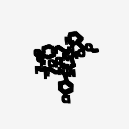 CCOC(=O)c1cccnc1-n1nc(Cn2nc(-c3ccc(Cl)cc3)n(C[C@H](O)C(F)(F)F)c2=O)nc1CN1CCS(=O)(=O)CC1